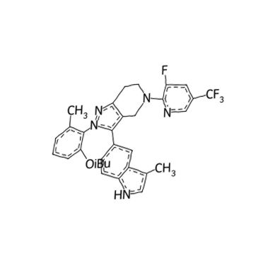 Cc1cccc(OCC(C)C)c1-n1nc2c(c1-c1ccc3[nH]cc(C)c3c1)CN(c1ncc(C(F)(F)F)cc1F)CC2